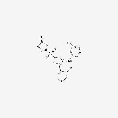 Cn1cnc(S(=O)(=O)N2C[C@H](Nc3ccnc(C(F)(F)F)c3)[C@@H](c3ccccc3F)C2)c1